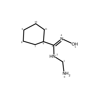 NCNC(=NO)C1CCCCC1